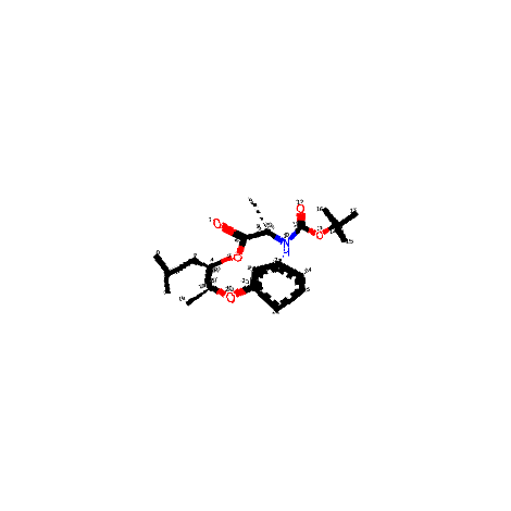 CC(C)C[C@@H](OC(=O)[C@H](C)NC(=O)OC(C)(C)C)[C@H](C)Oc1ccccc1